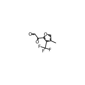 Cc1coc(C(=O)C=O)c1C(F)(F)F